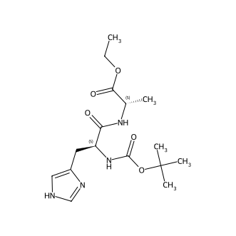 CCOC(=O)[C@H](C)NC(=O)[C@H](Cc1c[nH]cn1)NC(=O)OC(C)(C)C